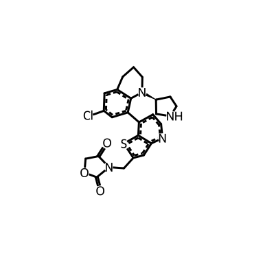 O=C1COC(=O)N1Cc1cc2nccc(-c3cc(Cl)cc4c3N([C@H]3CCNC3)CCC4)c2s1